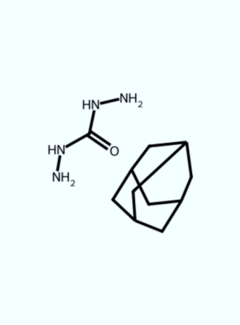 C1C2CC3CC1CC(C2)C3.NNC(=O)NN